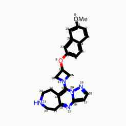 COc1ccc2ccc(OC3CN(c4c5c(nc6ccnn46)CCNCC5)C3)cc2c1